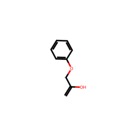 C=C(O)[CH]Oc1ccccc1